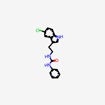 O=C(NCCc1c[nH]c2ccc(Cl)cc12)Nc1ccccc1